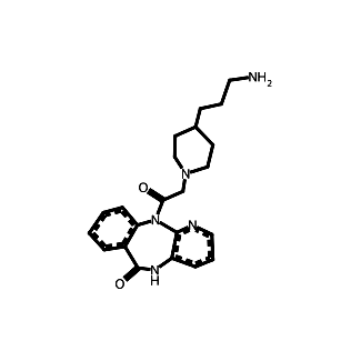 NCCCC1CCN(CC(=O)N2c3ccccc3C(=O)Nc3cccnc32)CC1